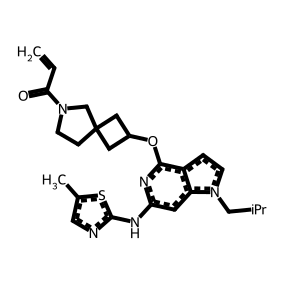 C=CC(=O)N1CCC2(CC(Oc3nc(Nc4ncc(C)s4)cc4c3ccn4CC(C)C)C2)C1